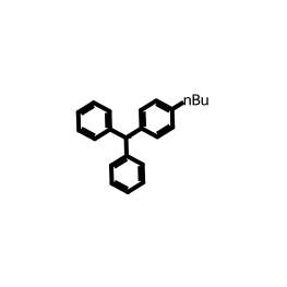 CCCCc1ccc([C](c2ccccc2)c2ccccc2)cc1